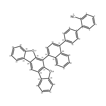 N#Cc1ccccc1-c1ccc(-c2ccc(-c3c4oc5ccccc5c4cc4c3oc3ccccc34)c3ccccc23)cc1